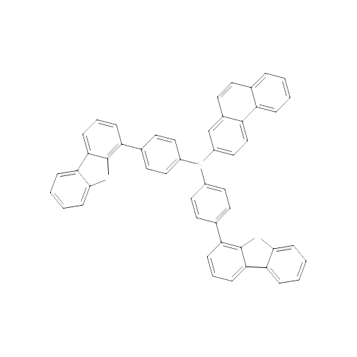 c1ccc2c(c1)ccc1cc(N(c3ccc(-c4cccc5c4sc4ccccc45)cc3)c3ccc(-c4cccc5c4sc4ccccc45)cc3)ccc12